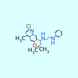 Cc1cc(Cl)nc2cc3c(cc12)OC(C)(C)CC3NCCNc1ccccc1